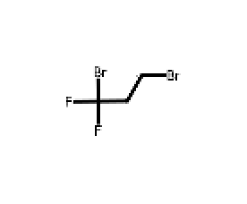 FC(F)(Br)C[CH]Br